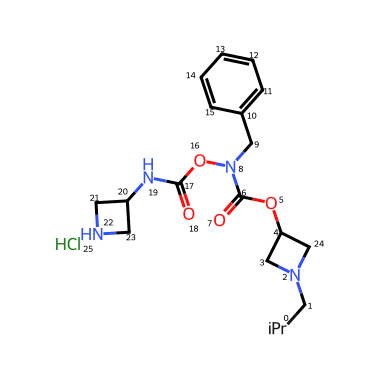 CC(C)CN1CC(OC(=O)N(Cc2ccccc2)OC(=O)NC2CNC2)C1.Cl